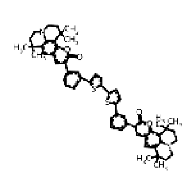 CC1(C)CCN2CCC(C)(C)c3c2c1cc1cc(-c2cccc(-c4ccc(-c5ccc(-c6cccc(-c7cc8cc9c%10c(c8oc7=O)C(C)(C)CCN%10CCC9(C)C)c6)s5)s4)c2)c(=O)oc31